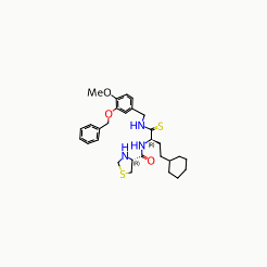 COc1ccc(CNC(=S)[C@@H](CCC2CCCCC2)NC(=O)[C@@H]2CSCN2)cc1OCc1ccccc1